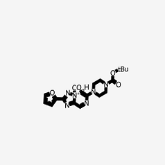 CC(C)(C)OC(=O)N1CCN(C2=C[N+]3(C(=O)O)N=C(c4ccco4)N=C3C=N2)CC1